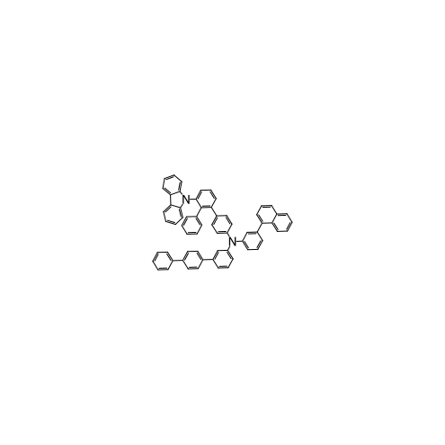 c1ccc(-c2ccc(-c3cccc(N(c4ccc(-c5cccc(-n6c7ccccc7c7ccccc76)c5-c5ccccc5)cc4)c4cccc(-c5cccc6ccccc56)c4)c3)cc2)cc1